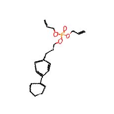 C=CCOP(=O)(OCC=C)OCCCc1ccc(C2CCCCC2)cc1